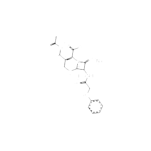 CC(=O)OCC1=C(C(=O)[O-])N2C(=O)C(NC(=O)COc3ccccc3)[C@H]2SC1.[Na+]